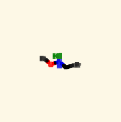 CCCCNOCC.Cl